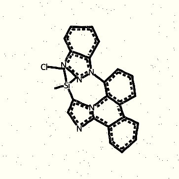 C[Si](C)(CCl)c1cnc2c3ccccc3c3cccc(-n4nnc5ccccc54)c3n12